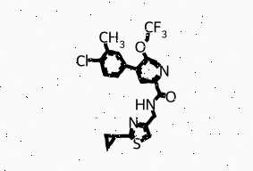 Cc1cc(-c2cc(C(=O)NCc3csc(C4CC4)n3)ncc2OCC(F)(F)F)ccc1Cl